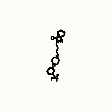 O=c1n(CCCCN2CCN(c3cccc(C(F)(F)F)c3)CC2)nc2ccccn12